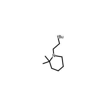 CC(C)(C)CCN1CCCCC1(C)C